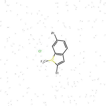 CCc1cc2ccc(C(C)C)cc2[s+]1C(F)(F)F.[Cl-]